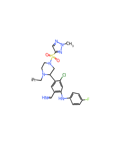 CC(C)CN1CCN(S(=O)(=O)c2cnn(C)n2)CC1c1cc(C=N)c(Nc2ccc(F)cc2)cc1Cl